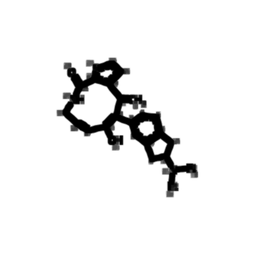 C=C1/C(c2ccc3c(c2)CC(N(CC)CC)C3)=C(O)\C=C/CNC(=O)c2sccc21